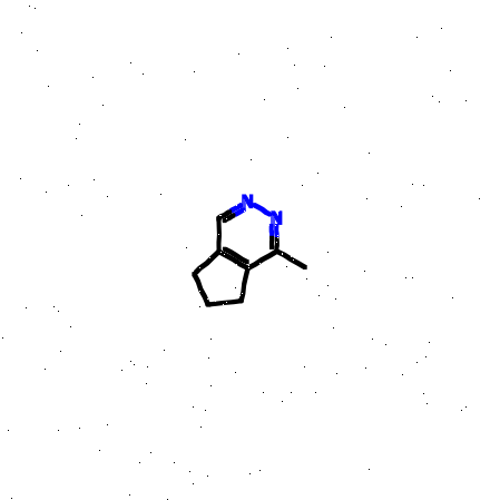 Cc1nncc2c1CCC2